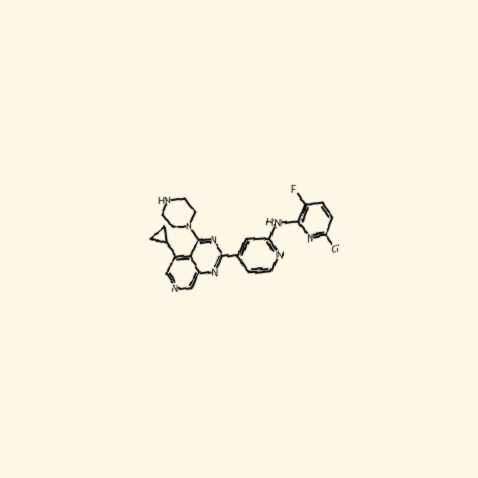 Fc1ccc(Cl)nc1Nc1cc(-c2nc(N3CCNCC3)c3c(C4CC4)cncc3n2)ccn1